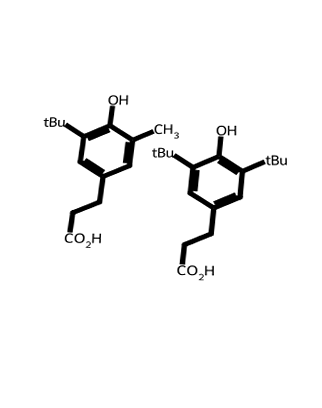 CC(C)(C)c1cc(CCC(=O)O)cc(C(C)(C)C)c1O.Cc1cc(CCC(=O)O)cc(C(C)(C)C)c1O